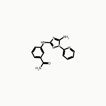 NC(=O)c1cccc(Nc2nc(N)n(-c3ccccn3)n2)c1